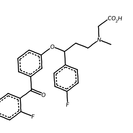 CN(CCC(Oc1cccc(C(=O)c2ccccc2F)c1)c1ccc(F)cc1)CC(=O)O